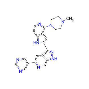 CN1CCN(c2nccc3[nH]c(-c4n[nH]c5cnc(-c6cncnc6)cc45)cc23)CC1